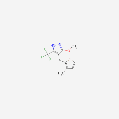 COc1n[nH]c(C(F)(F)F)c1Cc1sccc1C